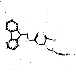 [N-]=[N+]=NNC[C@H](NC(=O)OCC1c2ccccc2-c2ccccc21)C(=O)O